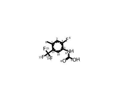 Cc1cc(F)c(NC(=O)O)cc1C(F)(F)F